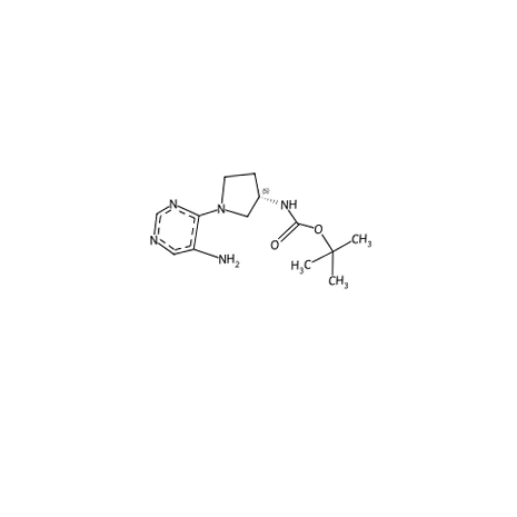 CC(C)(C)OC(=O)N[C@H]1CCN(c2ncncc2N)C1